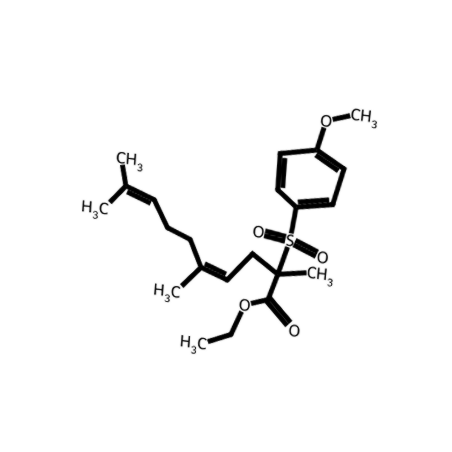 CCOC(=O)C(C)(CC=C(C)CCC=C(C)C)S(=O)(=O)c1ccc(OC)cc1